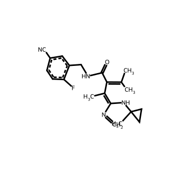 C=N/C(NC1(C)CC1)=C(\C)C(C(=O)NCc1cc(C#N)ccc1F)=C(C)C